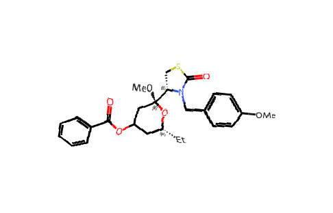 CC[C@@H]1CC(OC(=O)c2ccccc2)C[C@](OC)([C@@H]2CSC(=O)N2Cc2ccc(OC)cc2)O1